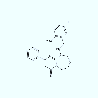 COc1ccc(F)cc1CNC1COCCn2c1nc(-c1ccncn1)cc2=O